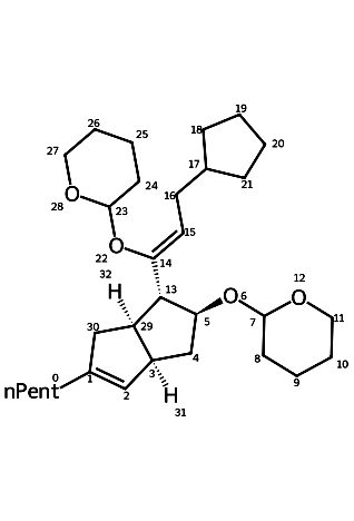 CCCCCC1=C[C@@H]2C[C@H](OC3CCCCO3)[C@@H](C(=CCC3CCCC3)OC3CCCCO3)[C@@H]2C1